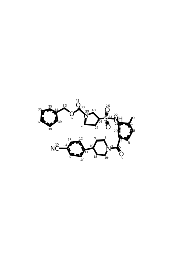 Cc1ccc(C(=O)N2CCC(c3ccc(C#N)cc3)CC2)cc1NS(=O)(=O)C1CCN(C(=O)OCc2ccccc2)C1